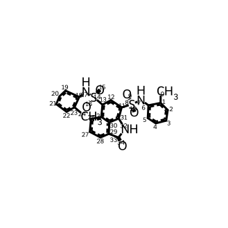 Cc1ccccc1NS(=O)(=O)c1cc(S(=O)(=O)Nc2ccccc2C)c2cccc3c2c1NC3=O